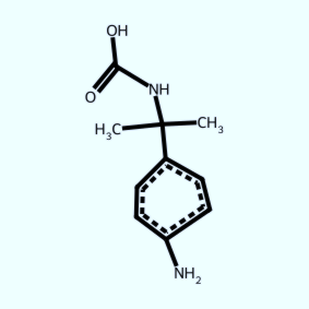 CC(C)(NC(=O)O)c1ccc(N)cc1